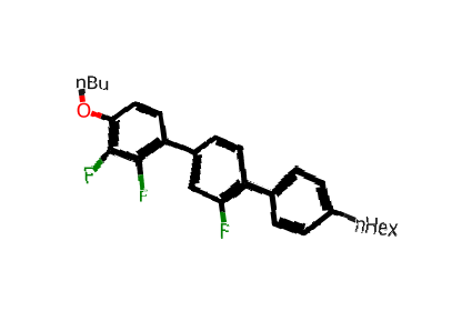 CCCCCCc1ccc(-c2ccc(-c3ccc(OCCCC)c(F)c3F)cc2F)cc1